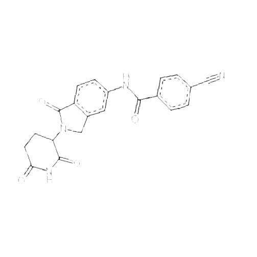 N#Cc1ccc(C(=O)Nc2ccc3c(c2)CN(C2CCC(=O)NC2=O)C3=O)cc1